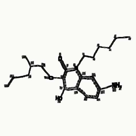 CCCCCCn1c(=O)c(OCC(C)CCC)c(O)c2ccc(N)cc21